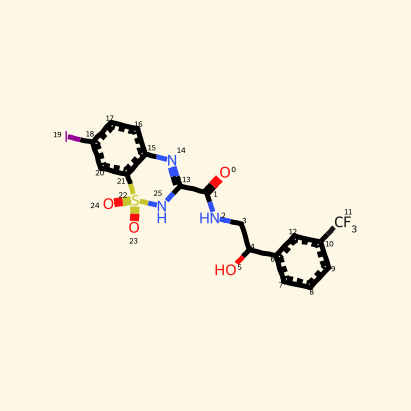 O=C(NCC(O)c1cccc(C(F)(F)F)c1)C1=Nc2ccc(I)cc2S(=O)(=O)N1